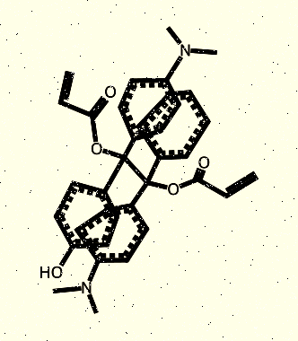 C=CC(=O)OC(c1ccccc1)(c1ccc(N(C)C)cc1)C(OC(=O)C=C)(c1ccc(O)cc1)c1ccc(N(C)C)cc1